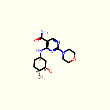 C[C@@H]1CC[C@@H](Nc2nc(N3CCOCC3)ncc2C(N)=O)C[C@H]1O